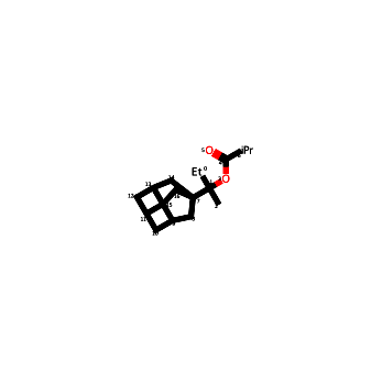 CCC(C)(OC(=O)C(C)C)C12CC3CC4CC(C1)C43C2